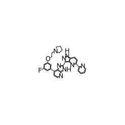 Fc1cc(OCCN2CCCC2)cc(-c2ccnc3[nH]c(-c4n[nH]c5ccc(-c6ccccn6)nc45)nc23)c1